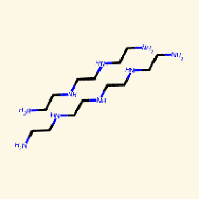 NCCNCCNCCN.NCCNCCNCCNCCN